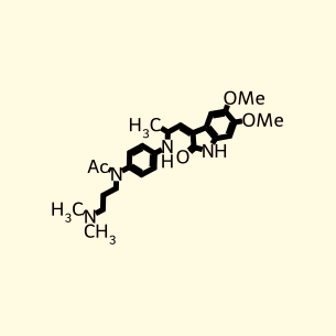 COc1cc2c(cc1OC)C(=CC(C)Nc1ccc(N(CCCN(C)C)C(C)=O)cc1)C(=O)N2